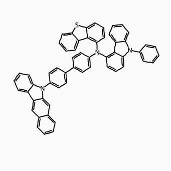 c1ccc(-n2c3ccccc3c3c(N(c4ccc(-c5ccc(-n6c7ccccc7c7cc8ccccc8cc76)cc5)cc4)c4cccc5sc6ccccc6c45)cccc32)cc1